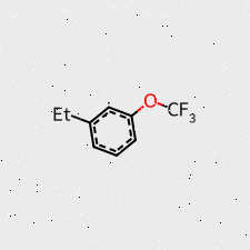 CCc1[c]c(OC(F)(F)F)ccc1